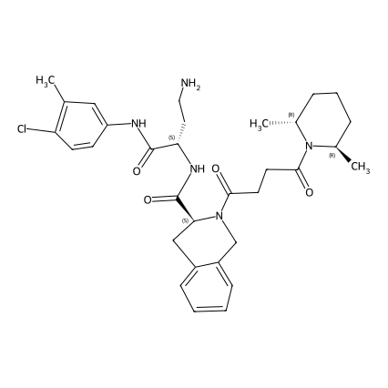 Cc1cc(NC(=O)[C@H](CCN)NC(=O)[C@@H]2Cc3ccccc3CN2C(=O)CCC(=O)N2[C@H](C)CCC[C@H]2C)ccc1Cl